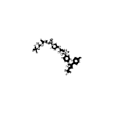 Cc1ccc(-c2cc(C(F)(F)F)nn2-c2ccc(S(=O)(=O)NC(=O)OC3CCN(/[N+]([O-])=N/OC(C)OC(=O)OC(C)(C)C)C3)cc2)cc1